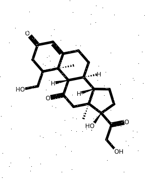 C[C@]12CC(=O)[C@H]3[C@@H](CCC4=CC(=O)CC(CO)[C@@]43C)[C@@H]1CC[C@]2(O)C(=O)CO